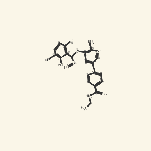 CCNC(=O)c1ccc(-c2cnc(N)c(OC(N=N)c3c(Cl)ccc(F)c3Cl)c2)cc1